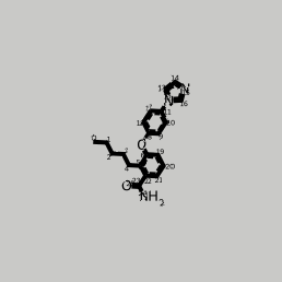 CCCCCc1c(Oc2ccc(-n3ccnc3)cc2)cccc1C(N)=O